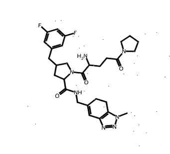 Cn1nnc2c1CCC(CNC(=O)C1CC(Cc3cc(F)cc(F)c3)CN1C(=O)C(N)CCC(=O)N1CCCC1)=C2